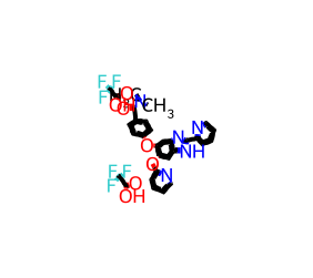 CN(C)C(=O)c1ccc(Oc2cc3nc(-c4ccccn4)[nH]c3cc2Oc2ccccn2)cc1.O=C(O)C(F)(F)F.O=C(O)C(F)(F)F